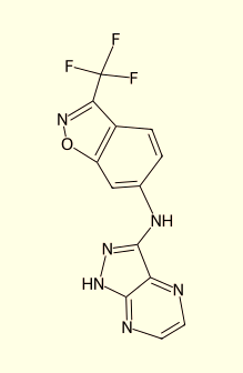 FC(F)(F)c1noc2cc(Nc3n[nH]c4nccnc34)ccc12